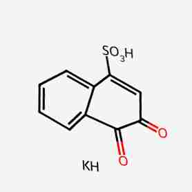 O=C1C=C(S(=O)(=O)O)c2ccccc2C1=O.[KH]